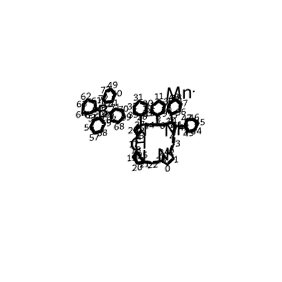 C1=Cc2cc3[nH]c(c(-c4ccccc4)c4nc(cc5ccc(cc1n2)[nH]5)C=C4c1ccccc1)c(-c1ccccc1)c3-c1ccccc1.[Mn].c1ccc([B-](c2ccccc2)(c2ccccc2)c2ccccc2)cc1